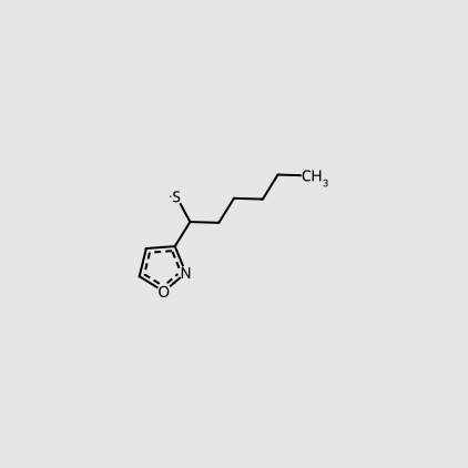 CCCCCC([S])c1ccon1